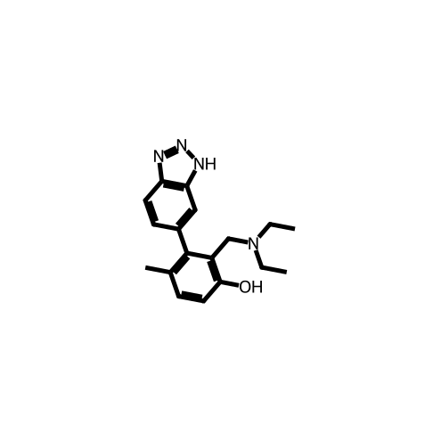 CCN(CC)Cc1c(O)ccc(C)c1-c1ccc2nn[nH]c2c1